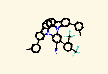 Cc1cccc(-c2ccc3c4ccccc4n(-c4cc(C#N)c(-c5ccc(C(F)(F)F)cc5C(F)(F)F)cc4-n4c5ccccc5c5ccc(-c6cccc(C)c6)cc54)c3c2)c1